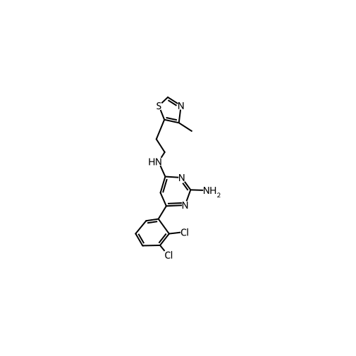 Cc1ncsc1CCNc1cc(-c2cccc(Cl)c2Cl)nc(N)n1